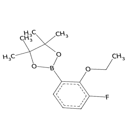 CCOc1c(F)cccc1B1OC(C)(C)C(C)(C)O1